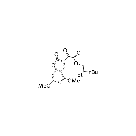 CCCCC(CC)COC(=O)C(=O)c1cc2c(OC)cc(OC)cc2oc1=O